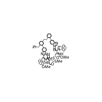 COC(=O)N[C@@H](CCSC)C(=O)N1CC2(C[C@H]1c1nc3cc(-c4ccccc4CCc4ccc(CC(C)C)c(-c5ccc6[nH]c([C@@H]7CC8(CN7C(=O)[C@H](CCSC)NC(=O)OC)OCCO8)nc6c5)c4)ccc3[nH]1)OCCO2